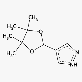 CC1(C)OC(c2cn[nH]c2)OC1(C)C